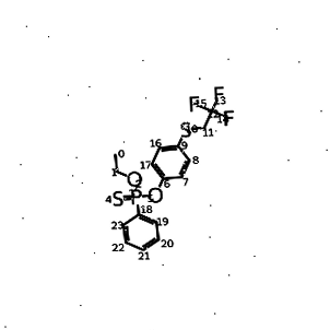 CCOP(=S)(Oc1ccc(SCC(F)(F)F)cc1)c1ccccc1